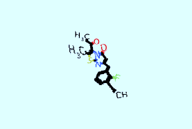 C#Cc1cccc(Cc2cc(=O)n3c(C(=O)CC)c(C)sc3n2)c1F